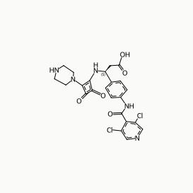 O=C(O)C[C@H](Nc1c(N2CCNCC2)c(=O)c1=O)c1ccc(NC(=O)c2c(Cl)cncc2Cl)cc1